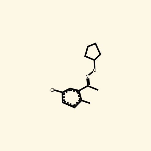 C/C(=N\OC1CCCC1)c1cc(Cl)ccc1C